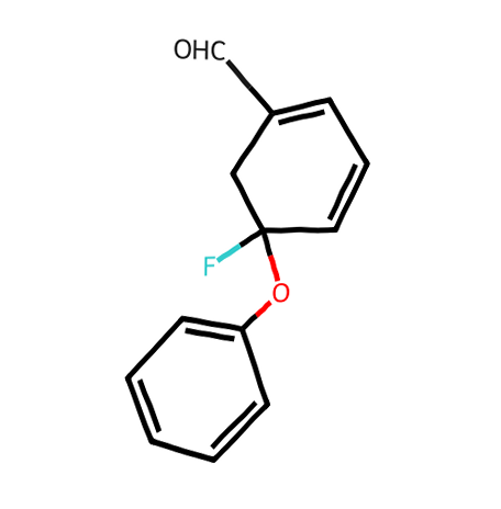 O=CC1=CC=CC(F)(Oc2ccccc2)C1